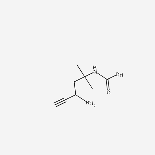 C#CC(N)CC(C)(C)NC(=O)O